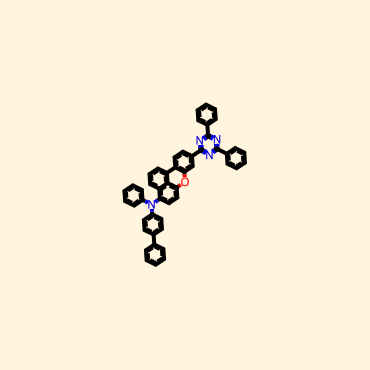 c1ccc(-c2ccc(N(c3ccccc3)c3ccc4c5c(cccc35)-c3ccc(-c5nc(-c6ccccc6)nc(-c6ccccc6)n5)cc3O4)cc2)cc1